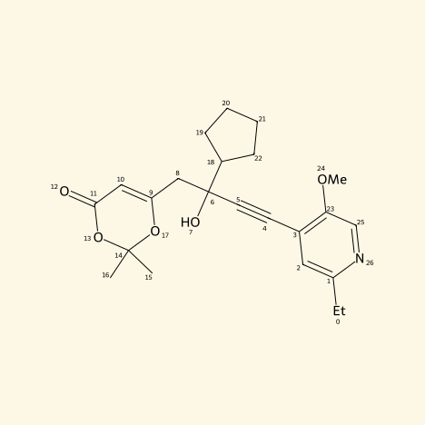 CCc1cc(C#CC(O)(CC2=CC(=O)OC(C)(C)O2)C2CCCC2)c(OC)cn1